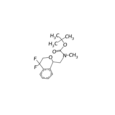 CN(CC1OCC(F)(F)c2ccccc21)C(=O)OC(C)(C)C